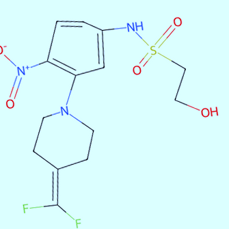 O=[N+]([O-])c1ccc(NS(=O)(=O)CCO)cc1N1CCC(=C(F)F)CC1